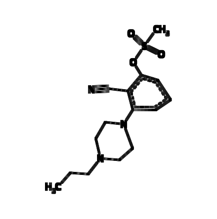 CCCN1CCN(c2cccc(OS(C)(=O)=O)c2C#N)CC1